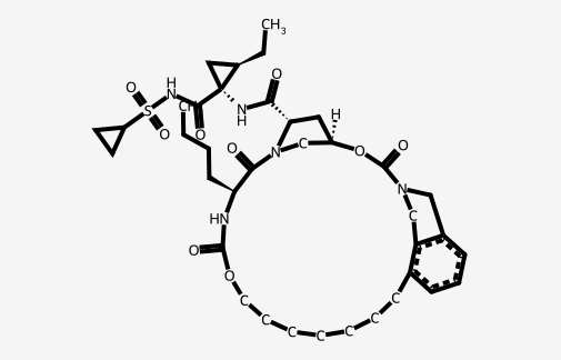 CCCC[C@@H]1NC(=O)OCCCCCCCc2cccc3c2CN(C3)C(=O)O[C@@H]2C[C@@H](C(=O)N[C@]3(C(=O)NS(=O)(=O)C4CC4)C[C@H]3CC)N(C2)C1=O